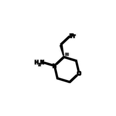 CC(C)C[C@@H]1COCCN1N